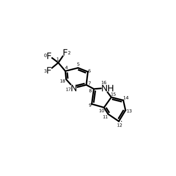 FC(F)(F)c1ccc(-c2cc3c[c]ccc3[nH]2)nc1